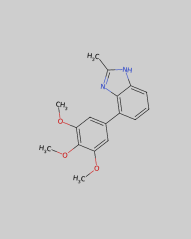 COc1cc(-c2cccc3[nH]c(C)nc23)cc(OC)c1OC